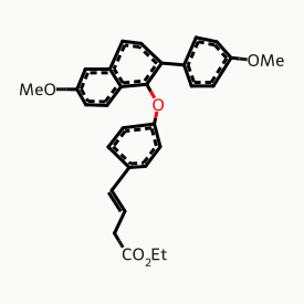 CCOC(=O)CC=Cc1ccc(Oc2c(-c3ccc(OC)cc3)ccc3cc(OC)ccc23)cc1